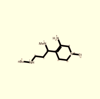 CCCCNCCC(NC)C1=C(N)CN(CC)CC1